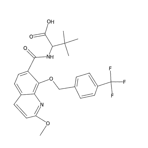 COc1ccc2ccc(C(=O)NC(C(=O)O)C(C)(C)C)c(OCc3ccc(C(F)(F)F)cc3)c2n1